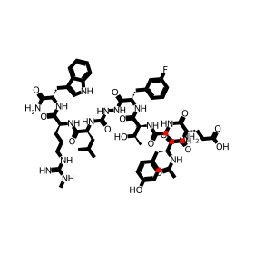 CNC(=N)NCCC[C@H](NC(=O)[C@H](CC(C)C)NC(=O)NNC(=O)[C@H](Cc1cccc(F)c1)NC(=O)[C@@H](NC(=O)[C@H](CC(N)=O)NC(=O)[C@H](CCC(=O)O)NC(=O)[C@@H](Cc1ccc(O)cc1)NC(C)=O)[C@@H](C)O)C(=O)N[C@@H](Cc1c[nH]c2ccccc12)C(N)=O